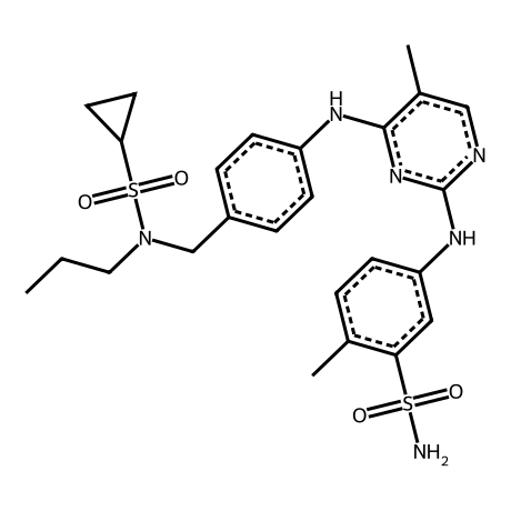 CCCN(Cc1ccc(Nc2nc(Nc3ccc(C)c(S(N)(=O)=O)c3)ncc2C)cc1)S(=O)(=O)C1CC1